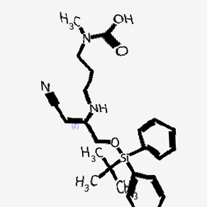 CN(CCCN/C(=C\C#N)CO[Si](c1ccccc1)(c1ccccc1)C(C)(C)C)C(=O)O